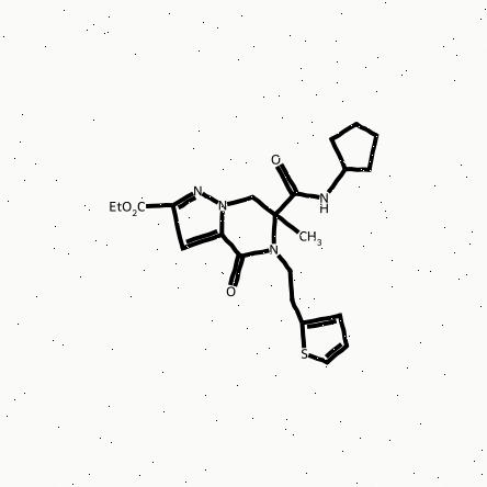 CCOC(=O)c1cc2n(n1)CC(C)(C(=O)NC1CCCC1)N(CCc1cccs1)C2=O